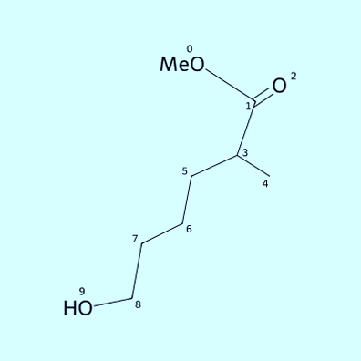 COC(=O)C(C)CCCCO